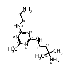 Cc1nc(NCCN)nc(NCCC(C)(C)N)n1